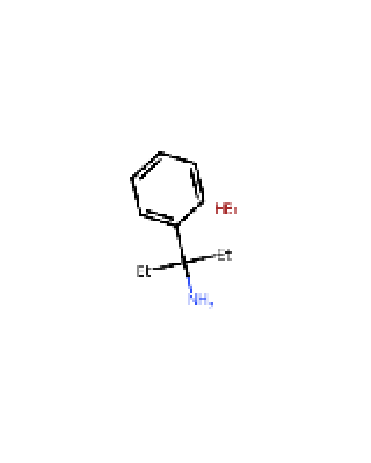 Br.CCC(N)(CC)c1ccccc1